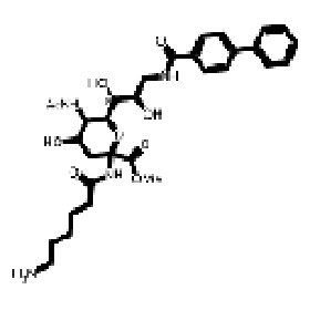 COC(=O)C1(NC(=O)CCCCCN)CC(O)C(NC(C)=O)C([C@@H](O)C(O)CNC(=O)c2ccc(-c3ccccc3)cc2)O1